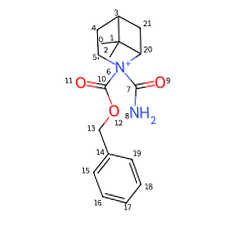 CC1(C)C2C[CH][N+](C(N)=O)(C(=O)OCc3ccccc3)C1C2